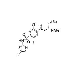 CN[C@H](CNc1cc(F)c(S(=O)(=O)Nc2ncc(F)s2)cc1Cl)CC(C)(C)C